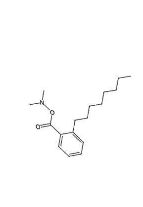 CCCCCCCCc1ccccc1C(=O)ON(C)C